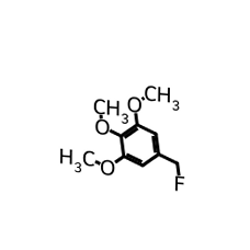 COc1cc(CF)cc(OC)c1OC